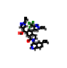 Cc1ccc2cncc(N3CCc4c(cc(C(O)c5cnn(C)c5)cc4-c4cn(C)nc4C(F)(F)F)C3=O)c2c1